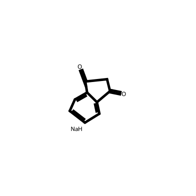 O=C1CC(=O)c2ccccc21.[NaH]